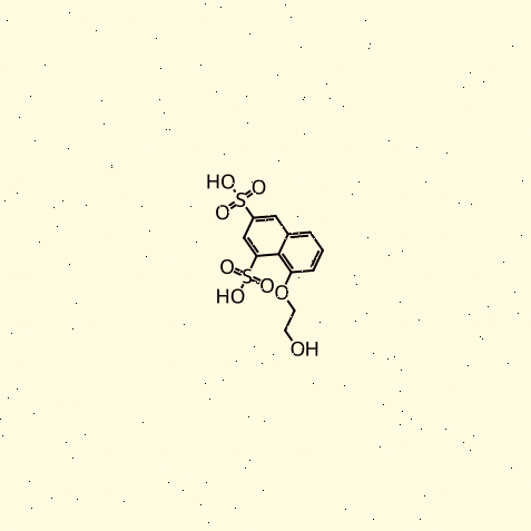 O=S(=O)(O)c1cc(S(=O)(=O)O)c2c(OCCO)cccc2c1